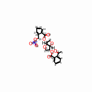 CC(=O)c1ccccc1C(=O)O[C@H]1CO[C@H]2[C@@H]1OC[C@H]2OC(=O)c1ccccc1CO[N+](=O)[O-]